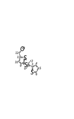 C[Si](C)(c1cccs1)c1ccc(C=O)s1